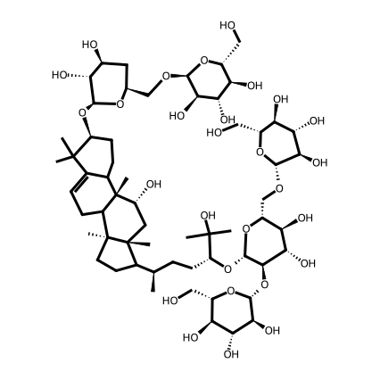 C[C@H](CC[C@@H](O[C@@H]1O[C@H](CO[C@@H]2O[C@H](CO)[C@@H](O)[C@H](O)[C@H]2O)[C@@H](O)[C@H](O)[C@H]1O[C@H]1O[C@@H](CO)[C@H](O)[C@@H](O)[C@@H]1O)C(C)(C)O)C1CC[C@@]2(C)C3CC=C4C(CC[C@H](O[C@@H]5O[C@H](CO[C@H]6O[C@H](CO)[C@@H](O)[C@H](O)[C@H]6O)C[C@H](O)[C@H]5O)C4(C)C)[C@]3(C)[C@H](O)C[C@]12C